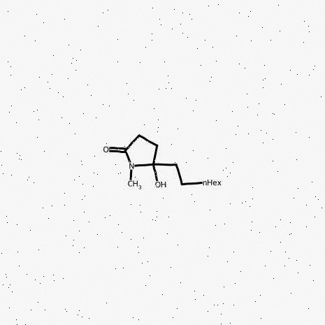 CCCCCCCCC1(O)CCC(=O)N1C